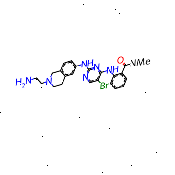 CNC(=O)c1ccccc1Nc1nc(Nc2ccc3c(c2)CCN(CCN)C3)ncc1Br